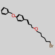 BrCCCCCCOCCC=Cc1ccc(OCc2ccccc2)cc1